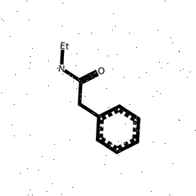 CC[N]C(=O)Cc1ccccc1